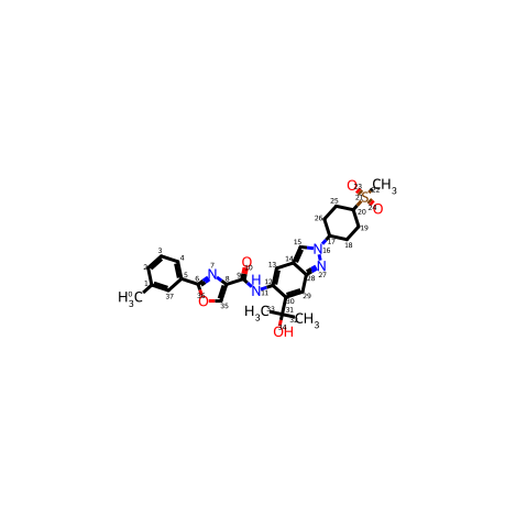 Cc1cccc(-c2nc(C(=O)Nc3cc4cn(C5CCC(S(C)(=O)=O)CC5)nc4cc3C(C)(C)O)co2)c1